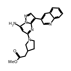 COC(=O)CC1CCN(c2cc(N)n3ncc(-c4cnc5ccccc5c4)c3n2)C1